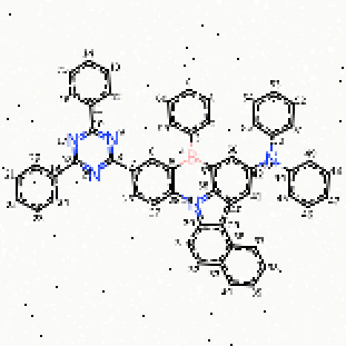 c1ccc(B2c3cc(-c4nc(-c5ccccc5)nc(-c5ccccc5)n4)ccc3-n3c4ccc5ccccc5c4c4cc(N(c5ccccc5)c5ccccc5)cc2c43)cc1